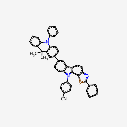 CC1(C)c2ccccc2N(c2ccccc2)c2ccc(-c3ccc4c(c3)c3ccc5nc(-c6ccccc6)sc5c3n4-c3ccc(C#N)cc3)cc21